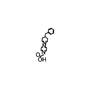 O=C(O)CN1CCN(N2CCC(Cc3ccccc3)CC2)CC1